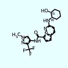 Cn1cc(NC(=O)c2ccc3ccc(N[C@@H]4CCCC[C@@H]4O)nn23)c(C(F)(F)F)n1